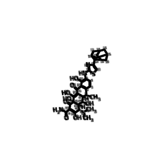 C[C@@H]1c2ccc(Nc3nc(C4C5CC6CC(C5)CC4C6)cs3)c(O)c2C(=O)C2=C(O)[C@]3(O)C(=O)C(C(N)=O)=C(O)[C@@H](N(C)C)[C@H]3[C@H](O)[C@H]21